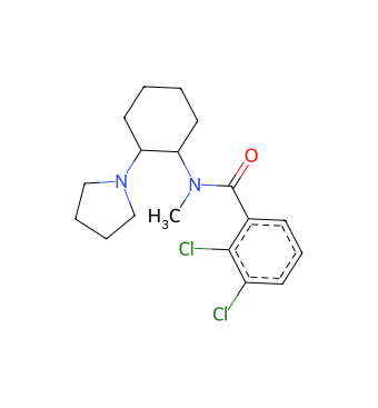 CN(C(=O)c1cccc(Cl)c1Cl)C1CCCCC1N1CCCC1